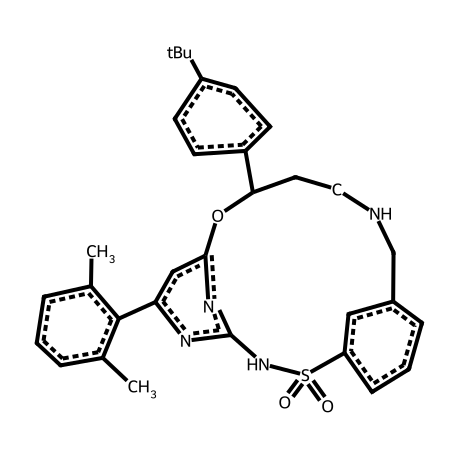 Cc1cccc(C)c1-c1cc2nc(n1)NS(=O)(=O)c1cccc(c1)CNCCC(c1ccc(C(C)(C)C)cc1)O2